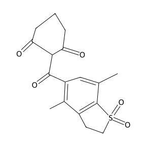 Cc1cc(C(=O)C2C(=O)CCCC2=O)c(C)c2c1S(=O)(=O)CC2